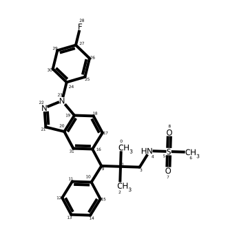 CC(C)(CNS(C)(=O)=O)C(c1ccccc1)c1ccc2c(cnn2-c2ccc(F)cc2)c1